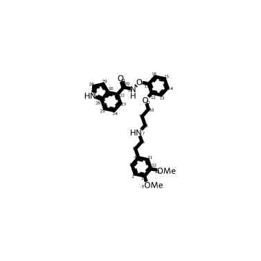 COc1ccc(CCNCCCOc2ccccc2ONC(=O)c2cccc3[nH]ccc23)cc1OC